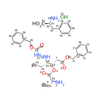 CC[C@H](C)[C@H](N)C(=O)O[C@@H](CC(=O)OCc1ccccc1)[C@H](CC(C)C)NNC(=O)OCc1ccccc1.Cl.N[C@@H](Cc1ccccc1)C(=O)O